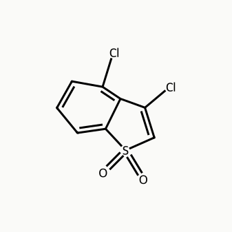 O=S1(=O)C=C(Cl)c2c(Cl)cccc21